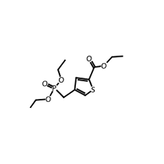 CCOC(=O)c1cc(CP(=O)(OCC)OCC)cs1